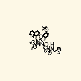 CCOC(OCC)[C@H](C)N(Cc1cccc2cccnc12)C(=O)[C@H](Cc1ccc(OC(C)(C)C)cc1)NC(=O)CN(C)NC(=O)NCc1cccs1